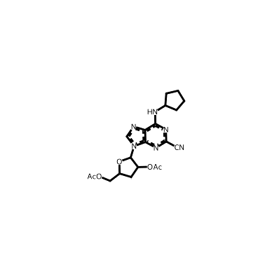 CC(=O)OCC1[CH]C(OC(C)=O)C(n2cnc3c(NC4CCCC4)nc(C#N)nc32)O1